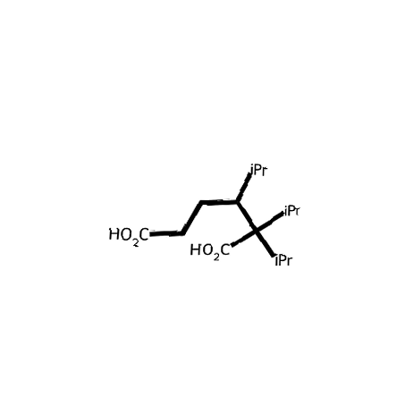 CC(C)C(CCC(=O)O)C(C(=O)O)(C(C)C)C(C)C